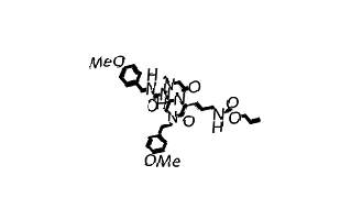 C=CCOC(=O)NCCC[C@H]1C(=O)N(CCc2ccc(OC)cc2)C[C@H]2N1C(=O)CN(C)N2C(=O)NCc1ccc(OC)cc1